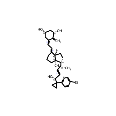 C=C1/C(=C\C=C2/CCC[C@]3(C)[C@@H]([C@H](C)/C=C/[C@@H](O)C4(c5ccc(CC)cn5)CC4)CC[C@@H]23)C[C@@H](O)C[C@@H]1O